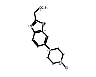 CCOC(=O)Cc1nc2ccc(N3CCN(CC)CC3)cc2[nH]1